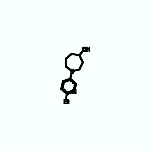 CCc1ccc(N2CCCC(O)CC2)cn1